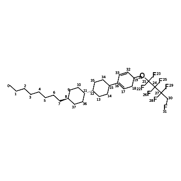 CCCCCCCC[C@H]1CC[C@H](C2CCC(C3=CCC(OC(F)(F)C(F)(F)C(F)(F)CF)C=C3)CC2)CC1